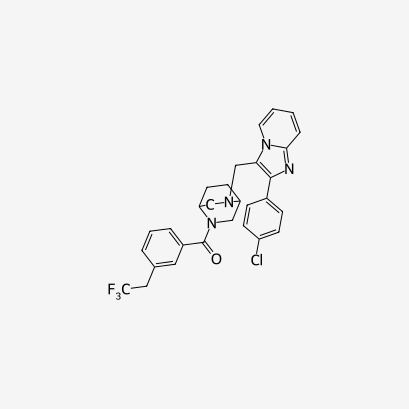 O=C(c1cccc(CC(F)(F)F)c1)N1CC2CCC1CN2Cc1c(-c2ccc(Cl)cc2)nc2ccccn12